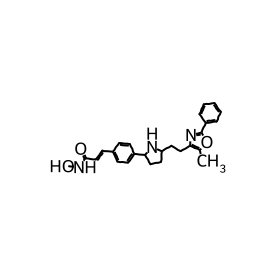 Cc1oc(-c2ccccc2)nc1CCC1CCC(c2ccc(/C=C/C(=O)NO)cc2)N1